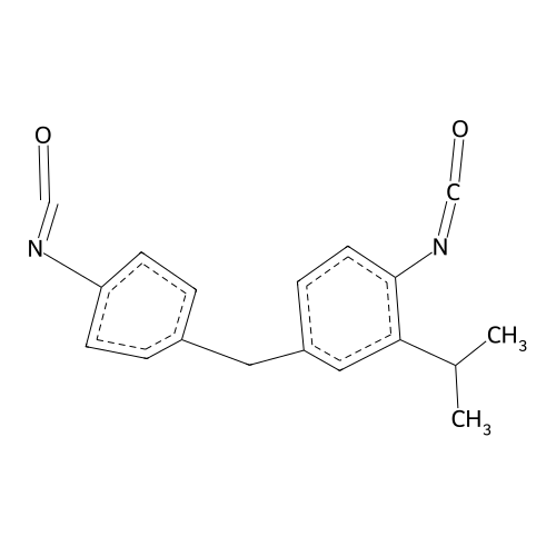 CC(C)c1cc(Cc2ccc(N=C=O)cc2)ccc1N=C=O